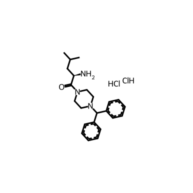 CC(C)C[C@@H](N)C(=O)N1CCN(C(c2ccccc2)c2ccccc2)CC1.Cl.Cl